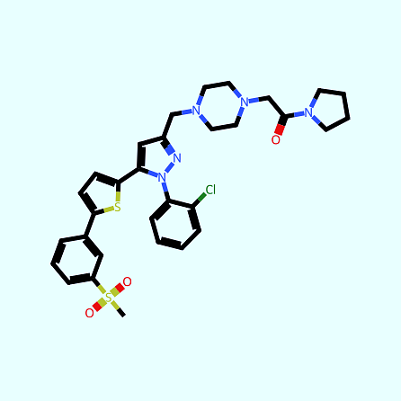 CS(=O)(=O)c1cccc(-c2ccc(-c3cc(CN4CCN(CC(=O)N5CCCC5)CC4)nn3-c3ccccc3Cl)s2)c1